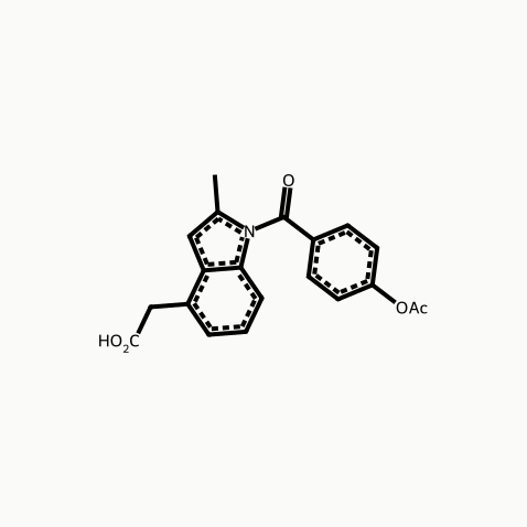 CC(=O)Oc1ccc(C(=O)n2c(C)cc3c(CC(=O)O)cccc32)cc1